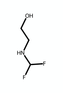 OCCNC(F)F